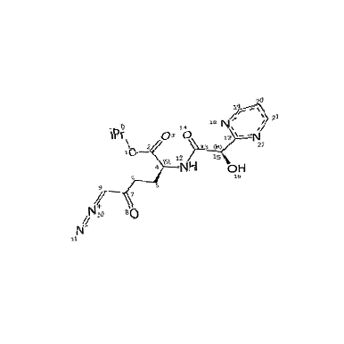 CC(C)OC(=O)[C@H](CCC(=O)C=[N+]=[N-])NC(=O)[C@H](O)c1ncccn1